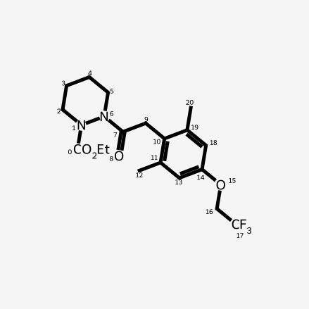 CCOC(=O)N1CCCCN1C(=O)Cc1c(C)cc(OCC(F)(F)F)cc1C